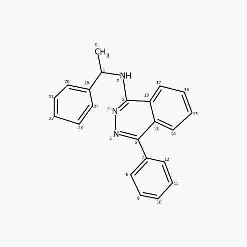 CC(Nc1nnc(-c2ccccc2)c2ccccc12)c1ccccc1